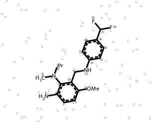 COc1ccc(N)c(N(C)C(C)C)c1CNc1ccc(C(F)F)cc1